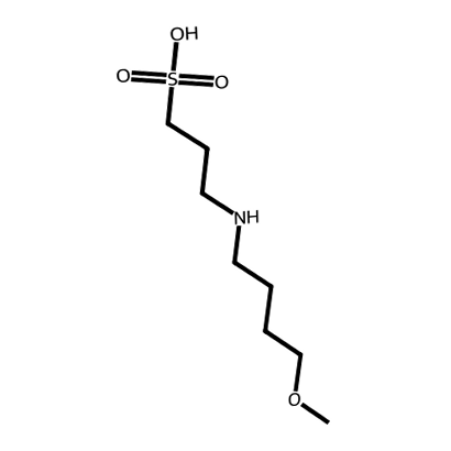 COCCCCNCCCS(=O)(=O)O